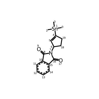 [CH3][Sn]([CH3])([CH3])[C]1=CC(N2C(=O)c3ccccc3C2=O)CC1